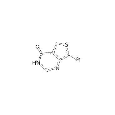 CC(C)c1scc2c(=O)[nH]cnc12